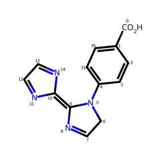 O=C(O)c1ccc(N2CC=NC2=C2N=CC=N2)cc1